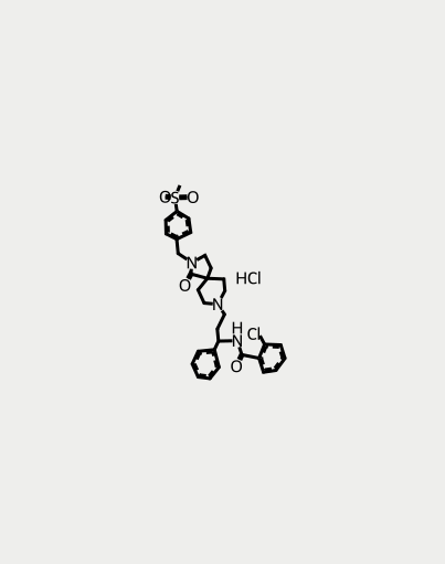 CS(=O)(=O)c1ccc(CN2CCC3(CCN(CCC(NC(=O)c4ccccc4Cl)c4ccccc4)CC3)C2=O)cc1.Cl